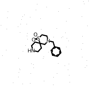 O=S1(=O)CCN(Cc2ccccc2)CC12CCNCC2